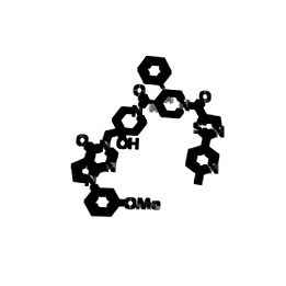 COc1cccc(-n2ccc3c(=O)n(CC4(O)CCN(C(=O)[C@@H]5CCN(C(=O)c6cnc(-c7ccc(C)nc7)s6)C[C@H]5c5ccccc5)CC4)cnc32)c1